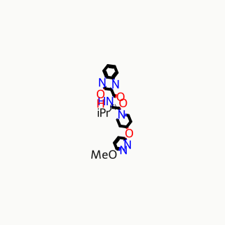 COc1ccc(OC2CCN(C(=O)[C@@H](NC(=O)c3nc4ccccc4nc3O)C(C)C)CC2)nn1